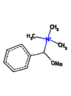 COC(c1ccccc1)[N+](C)(C)C